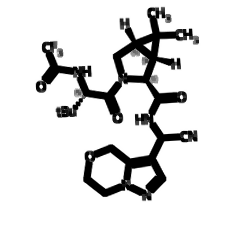 CC(C)(C)[C@H](NC(=O)C(F)(F)F)C(=O)N1C[C@H]2[C@@H]([C@H]1C(=O)NC(C#N)c1cnn3c1COCC3)C2(C)C